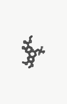 CCOC(=O)c1cn2c(cc1=O)-c1cc(OC)c(OC)cc1CC2CC(F)(F)F